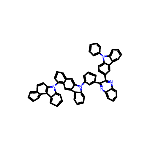 c1ccc(-n2c3ccccc3c3cc(-c4nc5ccccc5nc4-c4cccc(-n5c6ccccc6c6cc7c(-n8c9ccccc9c9c%10ccccc%10ccc98)cccc7cc65)c4)ccc32)cc1